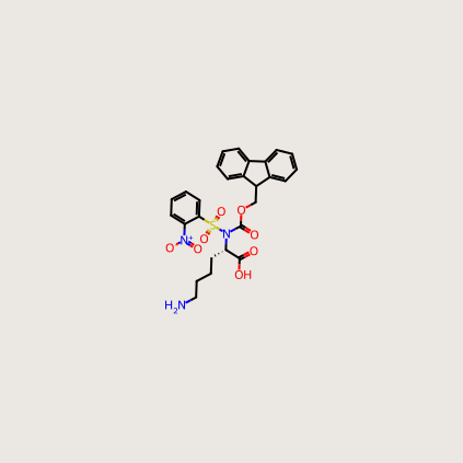 NCCCC[C@@H](C(=O)O)N(C(=O)OCC1c2ccccc2-c2ccccc21)S(=O)(=O)c1ccccc1[N+](=O)[O-]